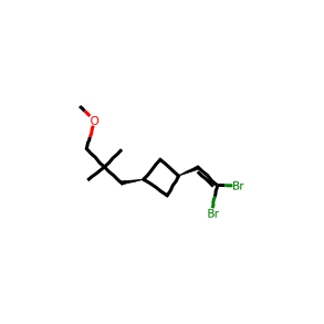 COCC(C)(C)C[C@H]1C[C@@H](C=C(Br)Br)C1